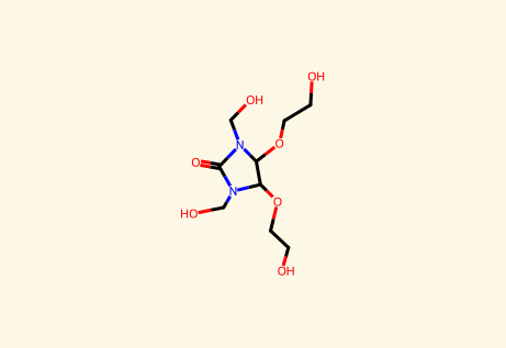 O=C1N(CO)C(OCCO)C(OCCO)N1CO